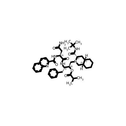 CC(C)C(=O)O[C@H](CN1C[C@H]2CCCC[C@H]2C[C@H]1C(=O)NC(C)(C)C)[C@H](Cc1ccccc1)NC(=O)[C@H](CC(N)=O)NC(=O)c1ccc2ccccc2n1